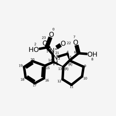 O=C(O)NC[C@@]1(C(=O)O)CCCC[C@H]1C(c1ccccc1)[N+](=O)[O-]